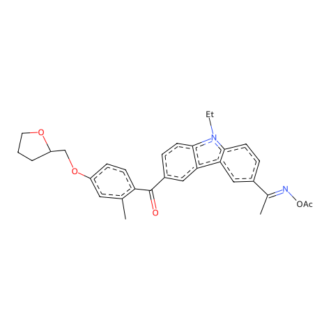 CCn1c2ccc(C(=O)c3ccc(OCC4CCCO4)cc3C)cc2c2cc(/C(C)=N/OC(C)=O)ccc21